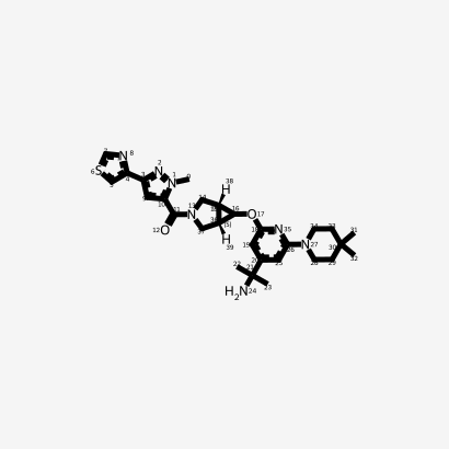 Cn1nc(-c2cscn2)cc1C(=O)N1C[C@@H]2C(Oc3cc(C(C)(C)N)cc(N4CCC(C)(C)CC4)n3)[C@@H]2C1